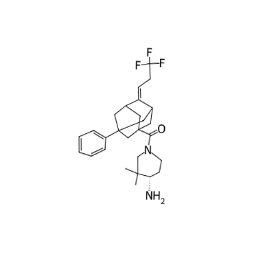 CC1(C)CN(C(=O)C23CC4CC(c5ccccc5)(CC(C2)C4=CCC(F)(F)F)C3)CC[C@@H]1N